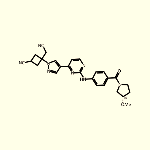 CO[C@H]1CCN(C(=O)c2ccc(Nc3nccc(-c4cnn(C5(CC#N)CC(C#N)C5)c4)n3)cc2)C1